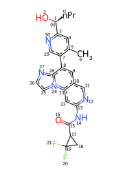 CCC[C@H](O)c1cc(C)c(-c2cc3cnc(NC(=O)C4CC4(F)F)cc3n3ccnc23)cn1